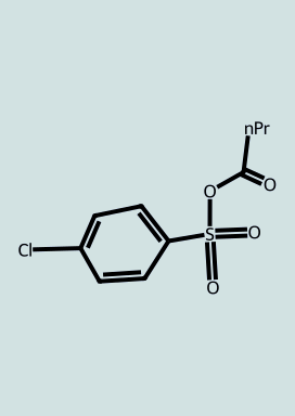 CCCC(=O)OS(=O)(=O)c1ccc(Cl)cc1